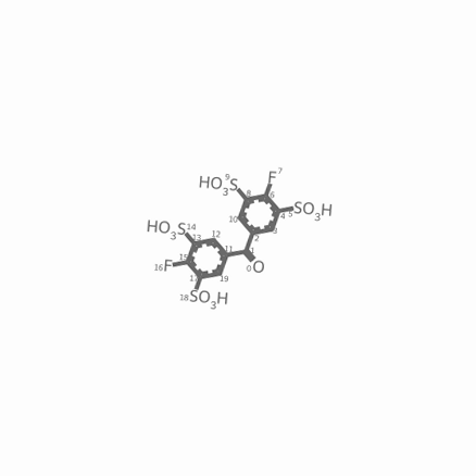 O=C(c1cc(S(=O)(=O)O)c(F)c(S(=O)(=O)O)c1)c1cc(S(=O)(=O)O)c(F)c(S(=O)(=O)O)c1